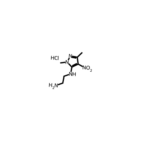 Cc1nn(C)c(NCCN)c1[N+](=O)[O-].Cl